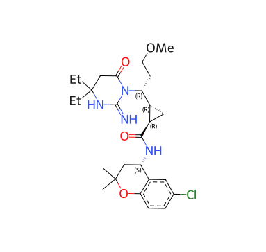 CCC1(CC)CC(=O)N([C@H](CCOC)[C@@H]2C[C@H]2C(=O)N[C@H]2CC(C)(C)Oc3ccc(Cl)cc32)C(=N)N1